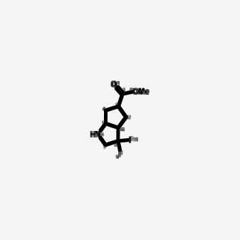 COC(=O)C1CC2NCC(F)(F)C2C1